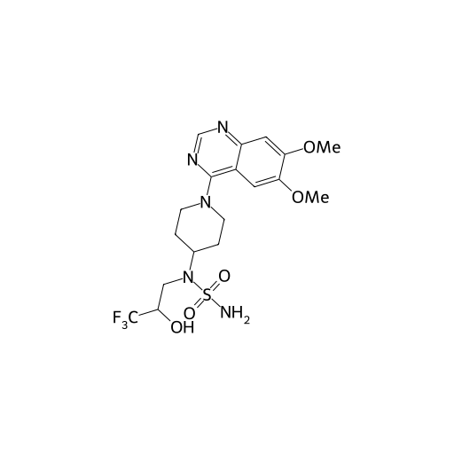 COc1cc2ncnc(N3CCC(N(CC(O)C(F)(F)F)S(N)(=O)=O)CC3)c2cc1OC